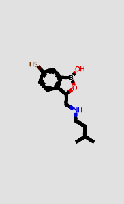 CC(C)CCNCC1OB(O)c2cc(S)ccc21